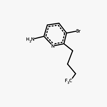 Nc1ccc(Br)c(CCCC(F)(F)F)n1